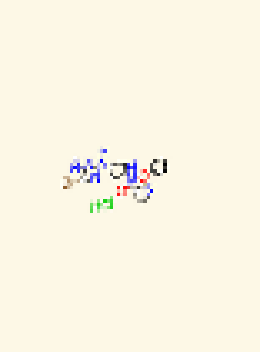 CN(C)c1nc(N[C@H]2CC[C@@H](NC(=O)c3cccnc3Oc3ccccc3)CC2)ncc1Br.Cl